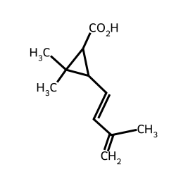 C=C(C)C=CC1C(C(=O)O)C1(C)C